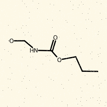 CCCOC(=O)NC[O]